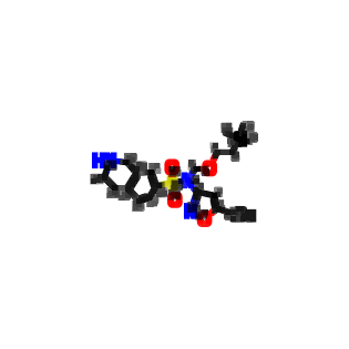 CC(C)(C)c1cc(N(COCC[Si](C)(C)C)S(=O)(=O)c2ccc3c(c2)CNCC3)no1